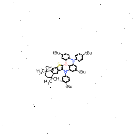 CC(C)(C)c1ccc(N2c3ccc(C(C)(C)C)cc3B3c4sc5cc6c(cc5c4N(c4ccc(C(C)(C)C)cc4)c4cc(C(C)(C)C)cc2c43)C(C)(C)CCC6(C)C)cc1